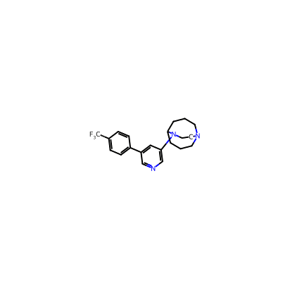 FC(F)(F)c1ccc(-c2cncc(N3CCN4CCCC3CCC4)c2)cc1